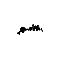 NS(=O)(=O)c1cc(C(=O)NC2CCN(CCCCOc3cccc4c3C(=O)C(=CCC3CC3)O4)CC2)ccc1Cl